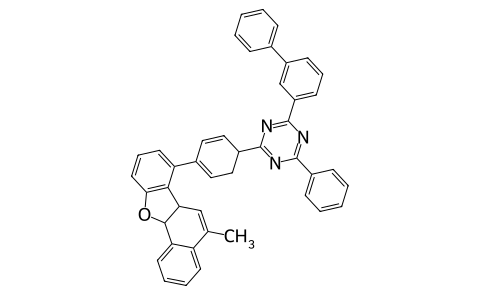 CC1=CC2c3c(cccc3C3=CCC(c4nc(-c5ccccc5)nc(-c5cccc(-c6ccccc6)c5)n4)C=C3)OC2c2ccccc21